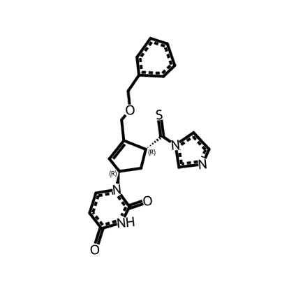 O=c1ccn([C@H]2C=C(COCc3ccccc3)[C@H](C(=S)n3ccnc3)C2)c(=O)[nH]1